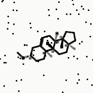 CO[C@H]1CC[C@@]2(C)C(=CC[C@H]3[C@@H]4CCC[C@@]4(C)CC[C@@H]32)C1